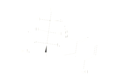 [2H]C([2H])(C(C)=O)C([2H])([2H])[C@@]([2H])(C(N)=O)N1Cc2c(O)cccc2C1=O